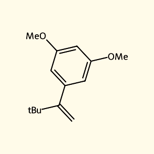 C=C(c1cc(OC)cc(OC)c1)C(C)(C)C